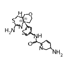 NC1=N[C@@]2(c3cc(NC(=O)C4=NCC(N)C=C4)cs3)CCOC[C@H]2CS1